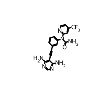 NC(=O)N(c1cccc(C#Cc2c(N)ncnc2N)c1)c1cc(C(F)(F)F)ccn1